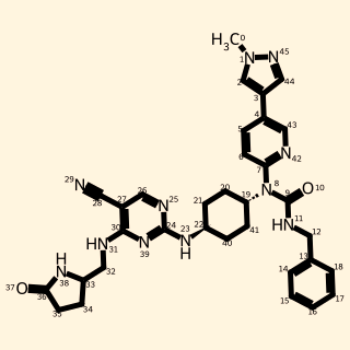 Cn1cc(-c2ccc(N(C(=O)NCc3ccccc3)[C@H]3CC[C@H](Nc4ncc(C#N)c(NCC5CCC(=O)N5)n4)CC3)nc2)cn1